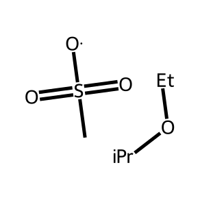 CCOC(C)C.CS([O])(=O)=O